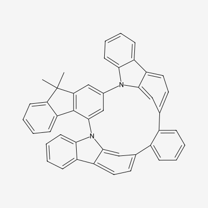 CC1(C)c2ccccc2-c2c1cc1cc2n2c3ccccc3c3ccc(cc32)c2ccccc2c2ccc3c4ccccc4n1c3c2